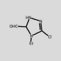 CCN1C(Cl)=NNC1C=O